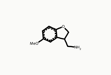 COc1ccc2c(c1)C(CN)CO2